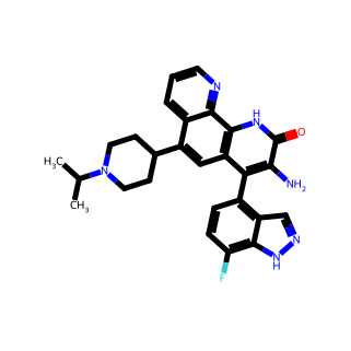 CC(C)N1CCC(c2cc3c(-c4ccc(F)c5[nH]ncc45)c(N)c(=O)[nH]c3c3ncccc23)CC1